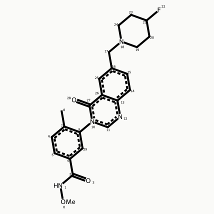 CONC(=O)c1ccc(C)c(-n2cnc3ccc(CN4CCC(F)CC4)cc3c2=O)c1